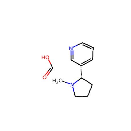 CN1CCC[C@H]1c1cccnc1.O=CO